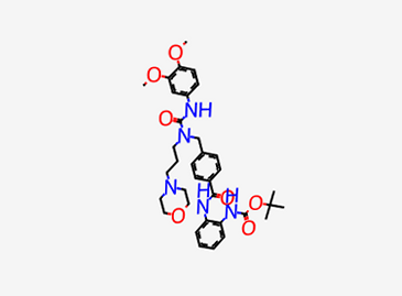 COc1ccc(NC(=O)N(CCCN2CCOCC2)Cc2ccc(C(=O)Nc3ccccc3NC(=O)OC(C)(C)C)cc2)cc1OC